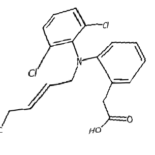 CCC=CCN(c1ccccc1CC(=O)O)c1c(Cl)cccc1Cl